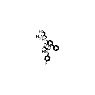 C[C@@H](Oc1nc(-c2ccccc2)ccc1NCC(N)CS)C(=O)NCc1ccc(F)cc1